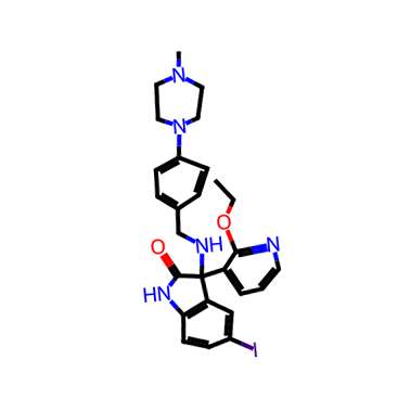 CCOc1ncccc1C1(NCc2ccc(N3CCN(C)CC3)cc2)C(=O)Nc2ccc(I)cc21